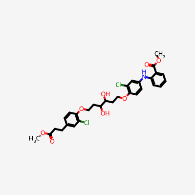 COC(=O)CCc1ccc(OCCC(O)C(O)CCOc2ccc(Nc3ccccc3C(=O)OC)cc2Cl)c(Cl)c1